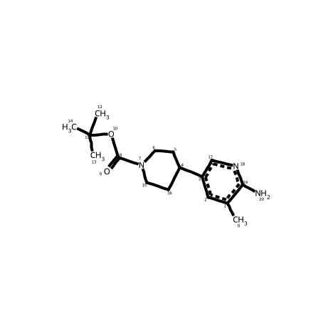 Cc1cc(C2CCN(C(=O)OC(C)(C)C)CC2)cnc1N